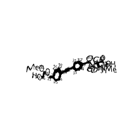 CNC(=O)[C@@](C)(C(=O)NO)N(C)C(=O)c1ccc(C#Cc2ccc(COC(CO)OC)cc2)cc1